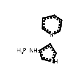 N.P.c1cc[nH]c1.c1ccncc1